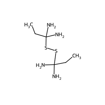 CCC(N)(N)SSC(N)(N)CC